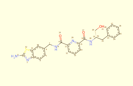 Nc1nc2ccc(CNC(=O)c3cccc(C(=O)N[C@H](CO)Cc4ccccc4)n3)cc2s1